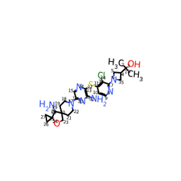 CC(C)(O)C1CN(c2nccc(Sc3ncc(N4CCC5(CC4)COC4(CC4)[C@H]5N)nc3N)c2Cl)C1